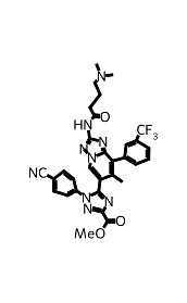 COC(=O)c1nc(-c2cn3nc(NC(=O)CCCN(C)C)nc3c(-c3cccc(C(F)(F)F)c3)c2C)n(-c2ccc(C#N)cc2)n1